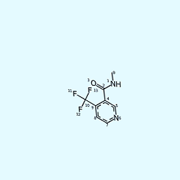 CNC(=O)c1cnccc1C(F)(F)F